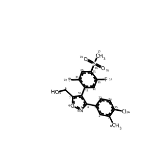 Cc1cc(-c2noc(CO)c2-c2cc(F)c(S(C)(=O)=O)cc2F)ccc1Cl